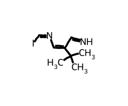 CC(C)(C)/C(C=N)=C/N=C\I